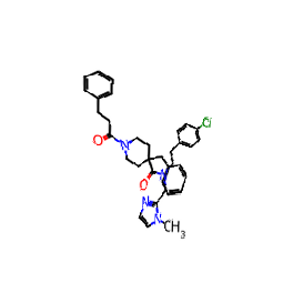 Cn1ccnc1CN(CCc1ccc(Cl)cc1)C(=O)C1(Cc2ccccc2)CCN(C(=O)CCc2ccccc2)CC1